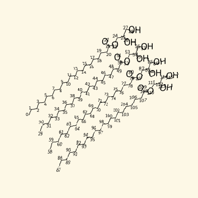 CCCCCCCCCCCCCCCCCCCCCC(=O)OCC(O)CO.CCCCCCCCCCCCCCCCCCCCCC(=O)OCC(O)CO.CCCCCCCCCCCCCCCCCCCCCC(=O)OCC(O)CO.CCCCCCCCCCCCCCCCCCCCCC(=O)OCC(O)CO